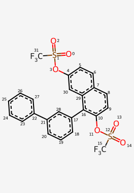 O=S(=O)(Oc1ccc2ccc(OS(=O)(=O)C(F)(F)F)c(-c3cccc(-c4ccccc4)c3)c2c1)C(F)(F)F